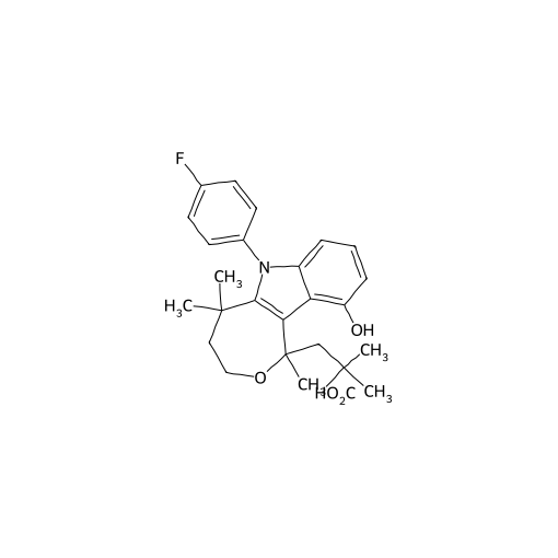 CC(C)(CC1(C)OCCC(C)(C)c2c1c1c(O)cccc1n2-c1ccc(F)cc1)C(=O)O